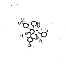 Cc1cc(C)c(-n2c3c(c(-c4ccccc4O)c(-c4ccc([N+](=O)[O-])cc4)c2=O)CN(c2c(C)cccc2C)C3=O)c(C)c1